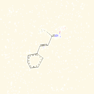 CCCC(/C=C/c1ccccc1)=N\O